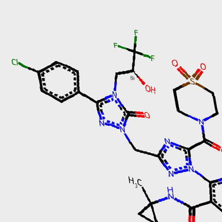 CC1(NC(=O)c2cccnc2-n2nc(Cn3nc(-c4ccc(Cl)cc4)n(C[C@H](O)C(F)(F)F)c3=O)nc2C(=O)N2CCS(=O)(=O)CC2)CC1